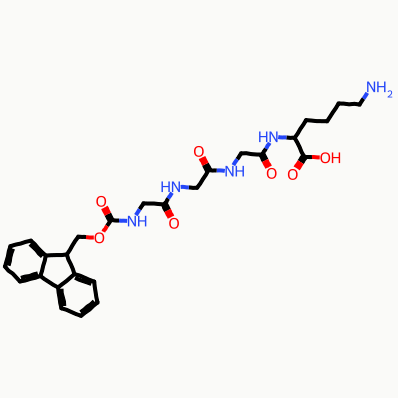 NCCCCC(NC(=O)CNC(=O)CNC(=O)CNC(=O)OCC1c2ccccc2-c2ccccc21)C(=O)O